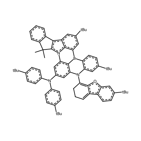 CC(C)(C)c1ccc(N(c2ccc(C(C)(C)C)cc2)c2cc3c4c(c2)-n2c5c(c6cc(C(C)(C)C)cc(c62)B4c2ccc(C(C)(C)C)cc2N3C2=c3oc4cc(C(C)(C)C)ccc4c3=CCC2)-c2ccccc2C5(C)C)cc1